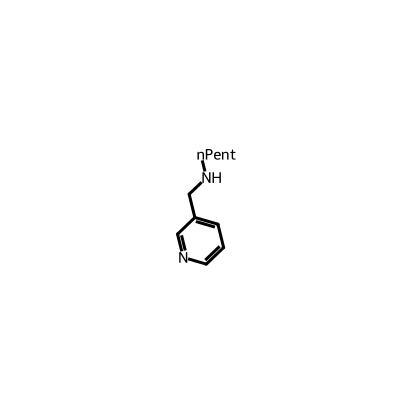 CCCCCNCc1cccnc1